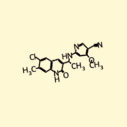 COc1cc(N[C@@H](C)c2cc3cc(Cl)c(C)cc3[nH]c2=O)ncc1C#N